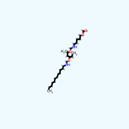 CCCCCCCCCCCCNCOC(CC)CC(C)OCNCCCCCOC=O